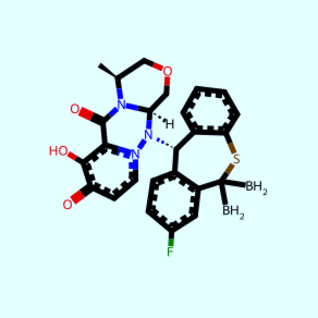 BC1(B)Sc2ccccc2[C@@H](N2[C@@H]3COC[C@H](C)N3C(=O)c3c(O)c(=O)ccn32)c2ccc(F)cc21